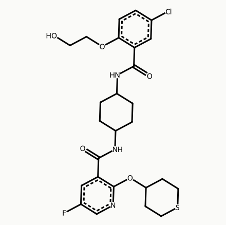 O=C(NC1CCC(NC(=O)c2cc(F)cnc2OC2CCSCC2)CC1)c1cc(Cl)ccc1OCCO